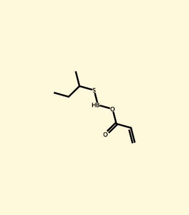 C=CC(=O)OBSC(C)CC